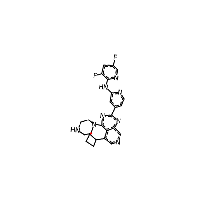 Fc1cnc(Nc2cc(-c3nc(N4CCNCC4)c4c(C5CCC5)cncc4n3)ccn2)c(F)c1